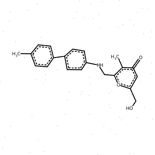 Cc1ccc(-c2ccc(NCc3oc(CO)cc(=O)c3C)cc2)cc1